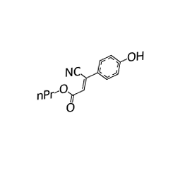 CCCOC(=O)C=C(C#N)c1ccc(O)cc1